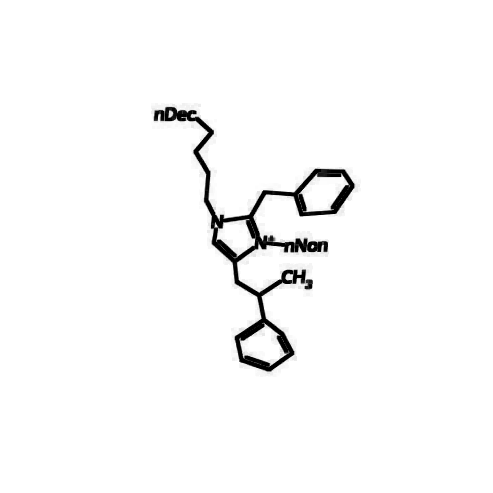 CCCCCCCCCCCCCCn1cc(CC(C)c2ccccc2)[n+](CCCCCCCCC)c1Cc1ccccc1